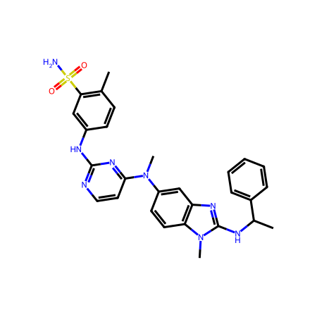 Cc1ccc(Nc2nccc(N(C)c3ccc4c(c3)nc(NC(C)c3ccccc3)n4C)n2)cc1S(N)(=O)=O